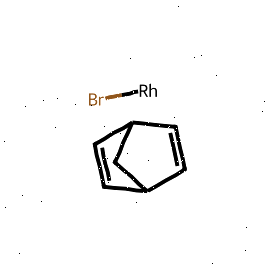 C1=CC2C=CC1C2.[Br][Rh]